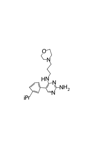 CC(C)c1cccc(-c2cnc(N)nc2NCCCN2CCOCC2)c1